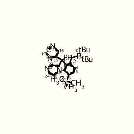 CC(C)(C)P(Cc1ccc([Si](C)(C)C)cc1C(P)(c1cnccn1)c1cnccn1)C(C)(C)C